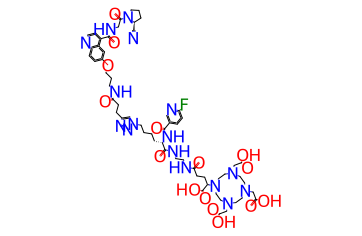 N#C[C@@H]1CCCN1C(=O)CNC(=O)c1ccnc2ccc(OCCCNC(=O)CCc3cn(CCCC[C@H](NC(=O)c4ccc(F)nc4)C(=O)NCCNC(=O)CCC(C(=O)O)N4CCN(CC(=O)O)CCN(CC(=O)O)CCN(CC(=O)O)CC4)nn3)cc12